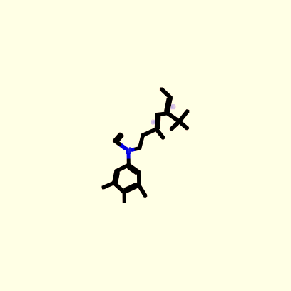 C=CN(CC/C(C)=C/C(=C\C)C(C)(C)C)c1cc(C)c(C)c(C)c1